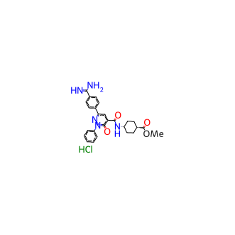 COC(=O)[C@H]1CC[C@H](NC(=O)c2cc(-c3ccc(C(=N)N)cc3)nn(-c3ccccc3)c2=O)CC1.Cl